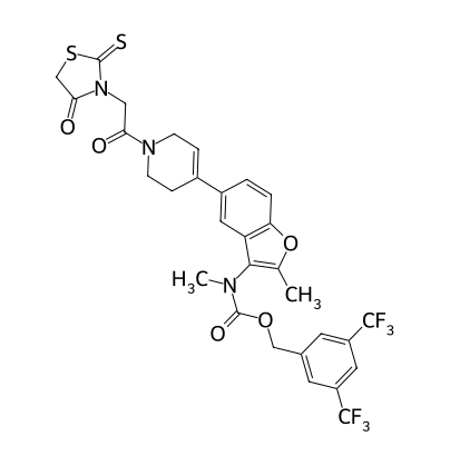 Cc1oc2ccc(C3=CCN(C(=O)CN4C(=O)CSC4=S)CC3)cc2c1N(C)C(=O)OCc1cc(C(F)(F)F)cc(C(F)(F)F)c1